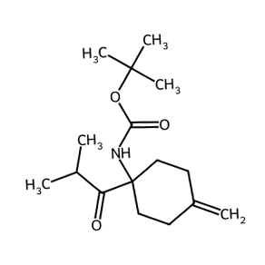 C=C1CCC(NC(=O)OC(C)(C)C)(C(=O)C(C)C)CC1